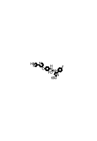 CC(C)(C)n1cc(NC(=O)Nc2ccc(Oc3ccnc(-c4cn[nH]c4)c3)cc2F)c(-c2ccc(F)cc2)n1